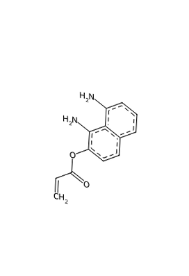 C=CC(=O)Oc1ccc2cccc(N)c2c1N